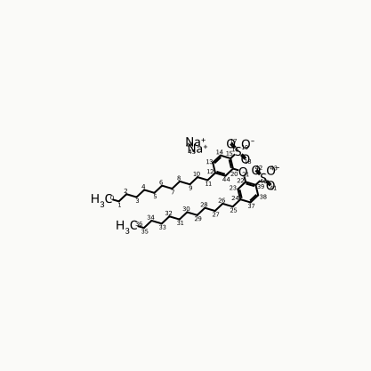 CCCCCCCCCCCCc1ccc(S(=O)(=O)[O-])c(Oc2cc(CCCCCCCCCCCC)ccc2S(=O)(=O)[O-])c1.[Na+].[Na+]